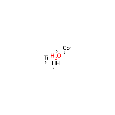 O.[Co].[LiH].[Ti]